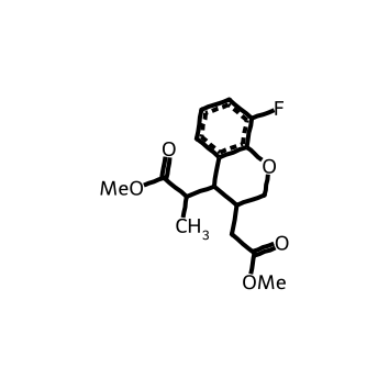 COC(=O)CC1COc2c(F)cccc2C1C(C)C(=O)OC